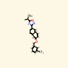 CCCCC(C)c1nc(-c2ccc3cc(OCc4cccc(C(F)(F)F)c4)ccc3c2)no1